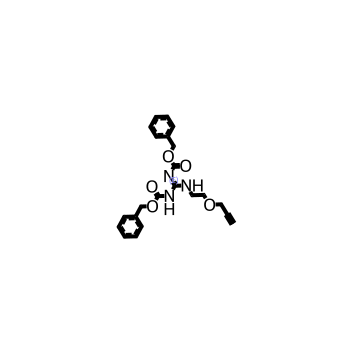 C#CCOCCN/C(=N\C(=O)OCc1ccccc1)NC(=O)OCc1ccccc1